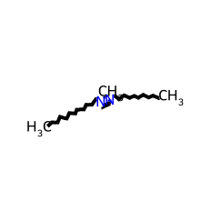 CCCCCCCCCCCCN1C=CN(CCCCCCCCCCC)C1C